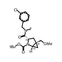 COC[C@@]12C[C@@H]1N(C(=O)OC(C)(C)C)[C@H](C(=O)N(F)Cc1cccc(Cl)c1)C2